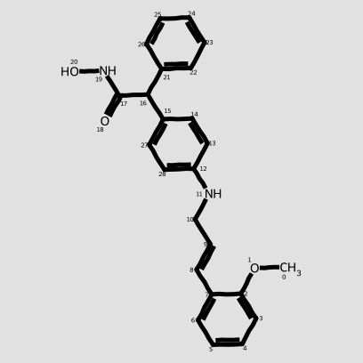 COc1ccccc1/C=C/CNc1ccc(C(C(=O)NO)c2ccccc2)cc1